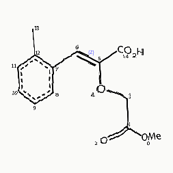 COC(=O)CO/C(=C\c1ccccc1C)C(=O)O